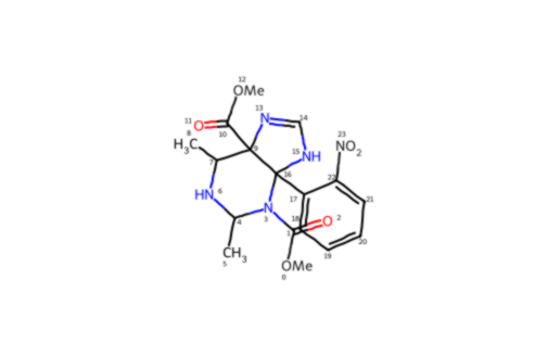 COC(=O)N1C(C)NC(C)C2(C(=O)OC)N=CNC12c1ccccc1[N+](=O)[O-]